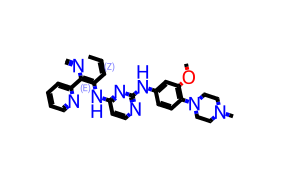 C=N/C(=C(\C=C/C)Nc1ccnc(Nc2ccc(N3CCN(C)CC3)c(OC)c2)n1)c1ccccn1